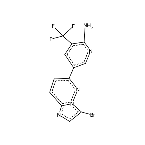 Nc1ncc(-c2ccc3ncc(Br)n3n2)cc1C(F)(F)F